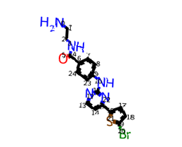 NCCNC(=O)c1ccc(Nc2nccc(-c3ccc(Br)s3)n2)cc1